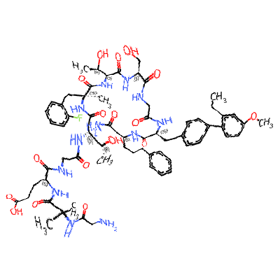 CCc1cc(OC)ccc1-c1ccc(C[C@H](NC(=O)CNC(=O)[C@H](CO)NC(=O)[C@@H](NC(=O)[C@](C)(Cc2ccccc2F)NC(=O)[C@@H](NC(=O)CNC(=O)[C@H](CCC(=O)O)NC(=O)C(C)(C)NC(=O)CN)[C@@H](C)O)[C@@H](C)O)C(=O)N[C@@H](CCCc2ccccc2)C(N)=O)cc1